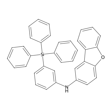 c1ccc([Si](c2ccccc2)(c2ccccc2)c2cccc(Nc3ccc4oc5ccccc5c4c3)c2)cc1